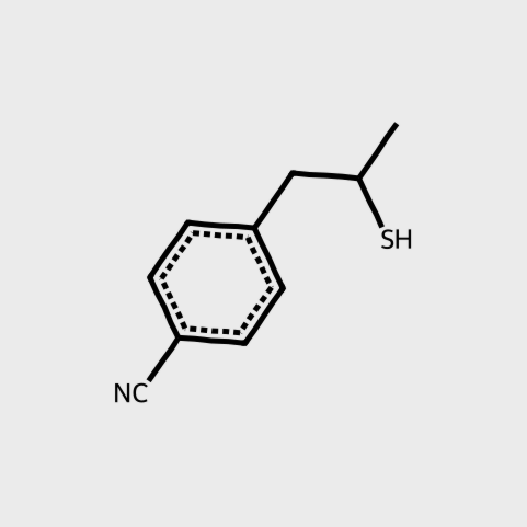 CC(S)Cc1ccc(C#N)cc1